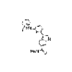 CNC(=O)c1ccn2c(-c3cccc(N[C@H]4CCCC[C@@H]4F)n3)cnc2c1